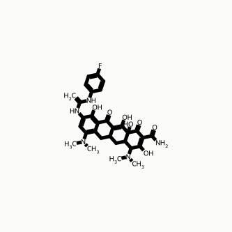 C=C(Nc1ccc(F)cc1)Nc1cc(N(C)C)c2c(c1O)C(=O)C1=C(O)C3(O)C(=O)C(C(N)=O)=C(O)C(N(C)C)C3CC1C2